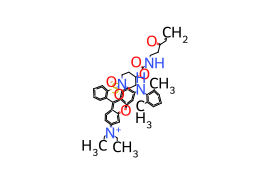 C=CC(=O)CCNC(=O)OC1CCN(S(=O)(=O)c2ccccc2-c2c3ccc(=[N+](CC)CC)cc-3oc3cc(Nc4c(C)cccc4C)ccc23)CC1